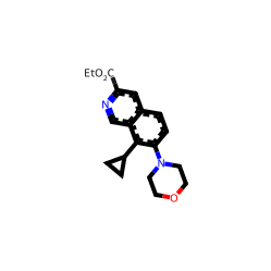 CCOC(=O)c1cc2ccc(N3CCOCC3)c(C3CC3)c2cn1